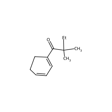 CCC(C)(C)C(=O)C1=CC=CCC1